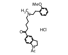 COc1ccccc1CCN(C)CCCCC(=O)c1ccc2c(c1)CCN2C(C)=O.Cl